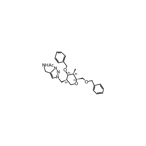 CC(=O)NCc1cn(C[C@@H]2CO[C@H](COCc3ccccc3)[C@H](C)[C@@H]2OCc2ccccc2)nn1